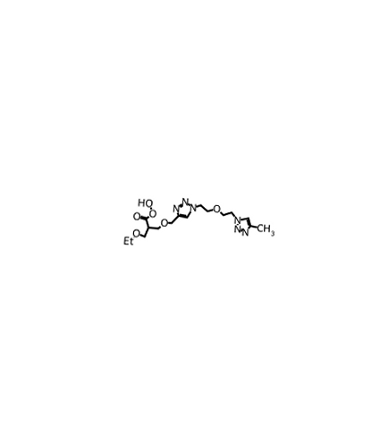 CCOCC(COCc1cn(CCOCCn2cc(C)nn2)nn1)C(=O)OO